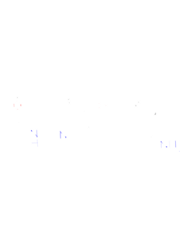 CC(=O)Nc1ccc(Oc2ccc(N)cc2)cn1